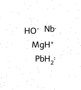 [MgH+].[Nb].[OH-].[PbH2]